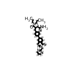 CCCN(CCC)C(=O)C1=Cc2ccc(-c3ccc4c(=S)n(Cc5ncccn5)ncc4c3)cc2N=C(N)C1